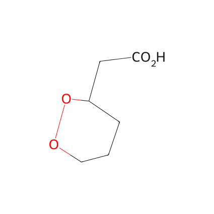 O=C(O)CC1CCCOO1